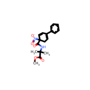 COC(=O)C(C)(C)NC(=O)C1([N+](=O)[O-])C=CC(c2ccccc2)=CC1